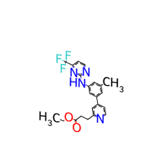 CCOC(=O)CCc1cc(-c2cc(C)cc(Nc3nccc(C(F)(F)F)n3)c2)ccn1